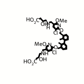 COc1nc(OCc2cccc(-c3cccc(COc4nc(OC)c(CNC[C@H](O)CC(=O)O)cc4Cl)c3C)c2C)c(Cl)cc1CNC[C@H](O)CC(=O)O